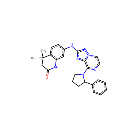 CC1(C)CC(=O)Nc2cc(Nc3nc4c(N5CCCC5c5ccccc5)nccn4n3)ccc21